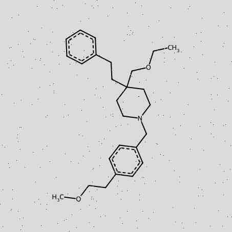 CCOCC1(CCc2ccccc2)CCN(Cc2ccc(CCOC)cc2)CC1